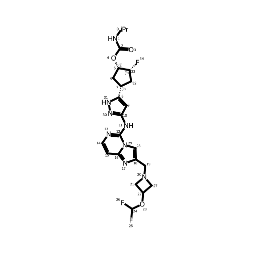 CC(C)NC(=O)O[C@H]1C[C@@H](c2cc(Nc3nccc4nc(CN5CC(OC(F)F)C5)cn34)n[nH]2)C[C@H]1F